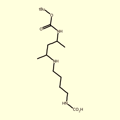 CC(CC(C)NC(=O)OC(C)(C)C)NCCCCNC(=O)O